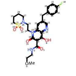 COCCNC(=O)c1c(O)c2ncc(Cc3ccc(F)cc3)cc2n(CCN2CCCCS2(=O)=O)c1=O